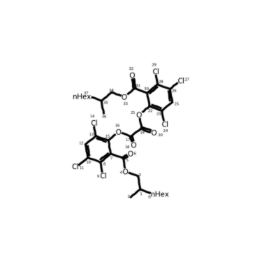 CCCCCCC(C)COC(=O)c1c(Cl)c(Cl)cc(Cl)c1OC(=O)C(=O)Oc1c(Cl)cc(Cl)c(Cl)c1C(=O)OCC(C)CCCCCC